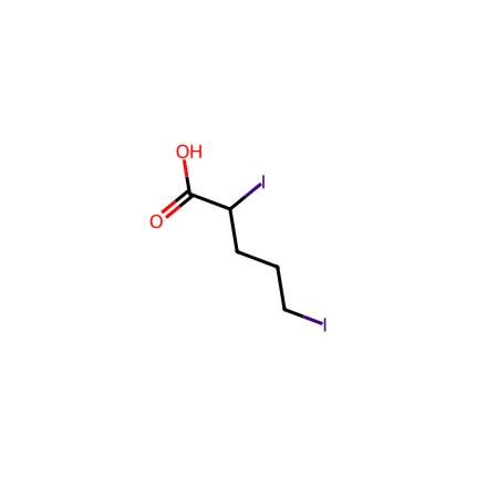 O=C(O)C(I)CCCI